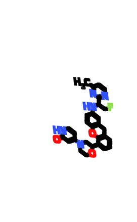 Cc1ccnc(C(CF)Nc2ccc3c(c2)Cc2cccc(C4CN(c5cc[nH]c(=O)c5)CCO4)c2O3)n1